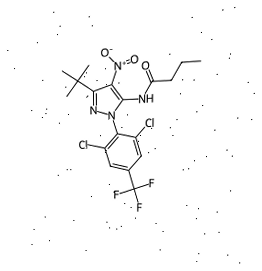 CCCC(=O)Nc1c([N+](=O)[O-])c(C(C)(C)C)nn1-c1c(Cl)cc(C(F)(F)F)cc1Cl